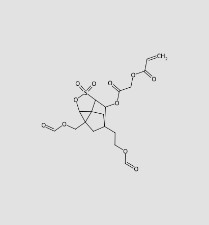 C=CC(=O)OCC(=O)OC1C2C34CC1(CCOC=O)CC3(COC=O)C4OS2(=O)=O